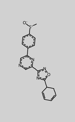 C[S+]([O-])c1ccc(-c2cncc(-c3noc(C4C=CC=CC4)n3)n2)cc1